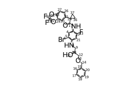 O=C(Nc1cc(Br)c(NC[C@@H](O)COCc2ccccc2)cc1F)C1(c2ccc3c(c2)OC(F)(F)O3)CC1